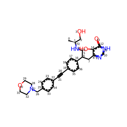 C[C@@H](CO)NCC(Cc1nc[nH]c(=O)c1O)c1ccc(C#Cc2ccc(CN3CCOCC3)cc2)cc1